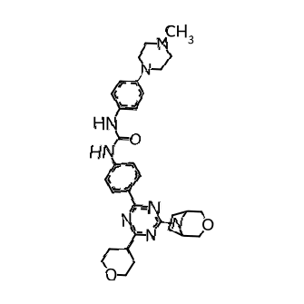 CN1CCN(c2ccc(NC(=O)Nc3ccc(-c4nc(C5CCOCC5)nc(N5C6CCC5COC6)n4)cc3)cc2)CC1